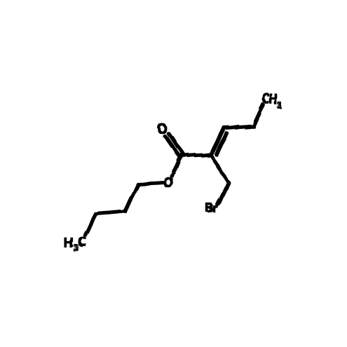 CCC=C(CBr)C(=O)OCCCC